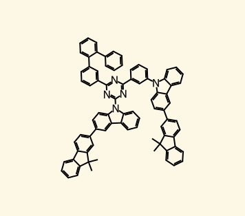 CC1(C)c2ccccc2-c2ccc(-c3ccc4c(c3)c3ccccc3n4-c3cccc(-c4nc(-c5cccc(-c6ccccc6-c6ccccc6)c5)nc(-n5c6ccccc6c6cc(-c7ccc8c(c7)C(C)(C)c7ccccc7-8)ccc65)n4)c3)cc21